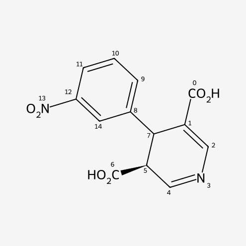 O=C(O)C1=CN=C[C@@H](C(=O)O)C1c1cccc([N+](=O)[O-])c1